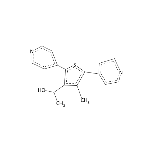 Cc1c(-c2ccncc2)sc(-c2ccncc2)c1C(C)O